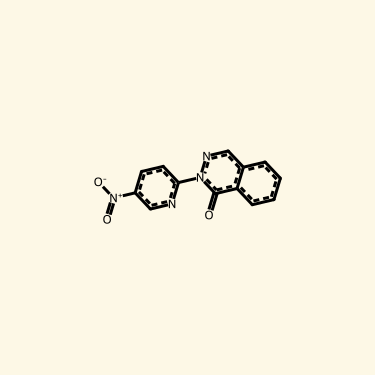 O=c1c2ccccc2cnn1-c1ccc([N+](=O)[O-])cn1